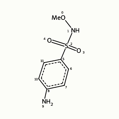 CONS(=O)(=O)c1ccc(N)cc1